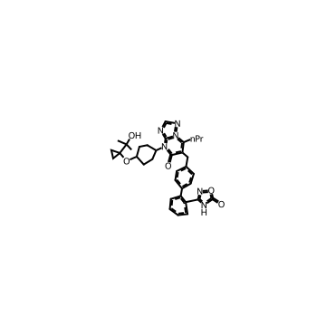 CCCc1c(Cc2ccc(-c3ccccc3-c3noc(=O)[nH]3)cc2)c(=O)n(C2CCC(OC3(C(C)(C)O)CC3)CC2)c2ncnn12